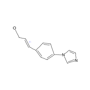 [O]C/C=C/c1ccc(-n2ccnc2)cc1